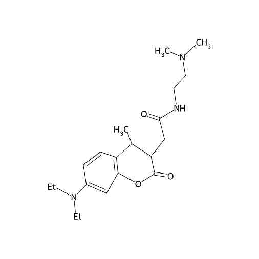 CCN(CC)c1ccc2c(c1)OC(=O)C(CC(=O)NCCN(C)C)C2C